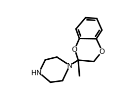 CC1(N2CCNCC2)COc2ccccc2O1